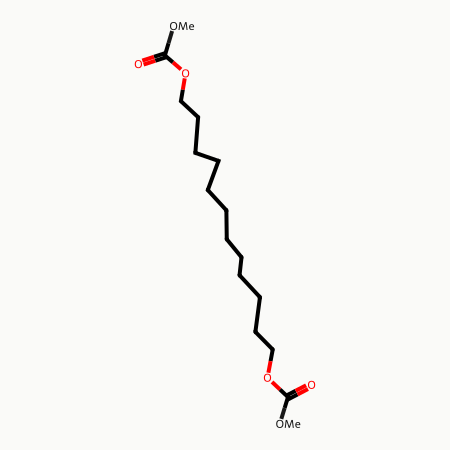 COC(=O)OCCCCCCCCCCCCOC(=O)OC